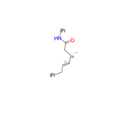 CC(C)C/C=C/[C@@H](C)CC(=O)NC(C)C